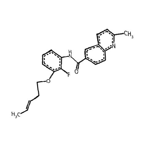 CC=CCCOc1cccc(NC(=O)c2ccc3nc(C)ccc3c2)c1F